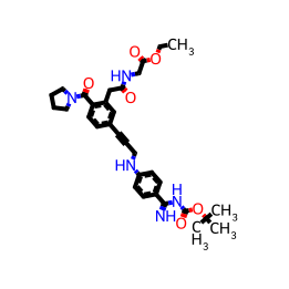 CCOC(=O)CNC(=O)Cc1cc(C#CCNc2ccc(C(=N)NC(=O)OC(C)(C)C)cc2)ccc1C(=O)N1CCCC1